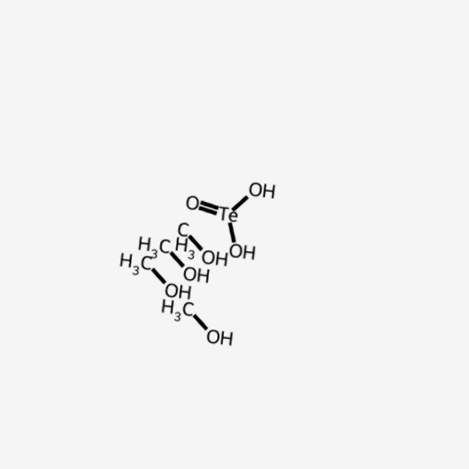 CO.CO.CO.CO.O=[Te](O)O